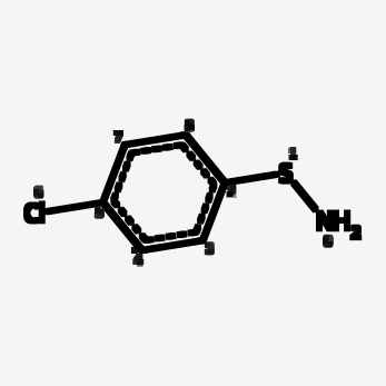 NSc1c[c]c(Cl)cc1